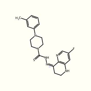 Cc1cccc(N2CCN(C(=S)N/N=C3/CCNc4cc(F)cnc43)CC2)c1